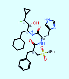 CC(C)(C)S(=O)(=O)C[C@@H](Cc1ccccc1)C(=O)N[C@@H](Cc1c[nH]cn1)C(=O)N[C@@H](CC1CCCCC1)[C@@H](O)[C@@H](F)C1CC1